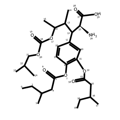 CCC(C)CC(=O)Oc1ccc(C(C(C)C(C)OC(=O)OCC(C)C)[C@H](N)C(=O)O)cc1OC(=O)CC(C)CC